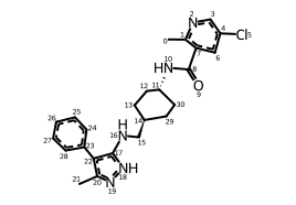 Cc1ncc(Cl)cc1C(=O)N[C@H]1CC[C@H](CNc2[nH]nc(C)c2-c2ccccc2)CC1